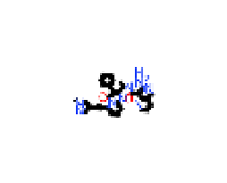 CC(NC(=O)c1c(N)ncc2cccnc12)c1nc2cccc(C#Cc3cnn(C)c3)n2c(=O)c1-c1ccccc1